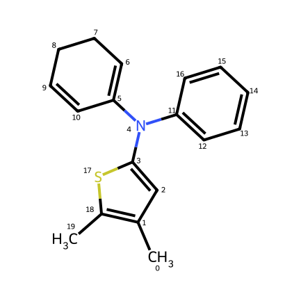 Cc1cc(N(C2=CCCC=C2)c2ccccc2)sc1C